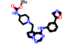 CC(C)(C)OC(=O)NC1CCN(Cc2ccn3ncnc(Nc4cccc(-c5cnco5)c4)c23)CC1